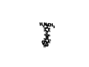 C[C@H](N)c1ccc(C2CN(c3ccc4c(c3)OCCO4)C2)cc1